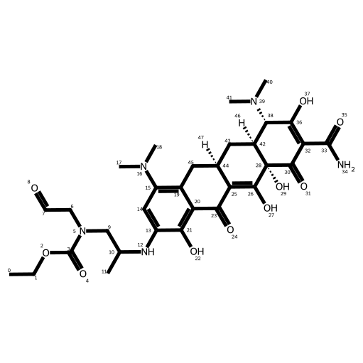 CCOC(=O)N(CC=O)CC(C)Nc1cc(N(C)C)c2c(c1O)C(=O)C1=C(O)[C@]3(O)C(=O)C(C(N)=O)=C(O)[C@@H](N(C)C)[C@@H]3C[C@@H]1C2